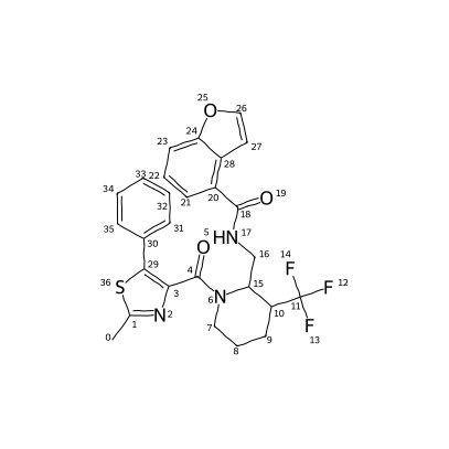 Cc1nc(C(=O)N2CCCC(C(F)(F)F)C2CNC(=O)c2cccc3occc23)c(-c2ccccc2)s1